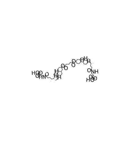 C[C@H](CCC(=O)NCCS(=O)(=O)O)[C@H]1CC[C@H]2[C@@H]3CCC4C[C@H](OC(=O)CCCC(=O)O[C@@H]5CC[C@@]6(C)C(CC[C@H]7[C@@H]8CC[C@H]([C@H](C)CCC(=O)NCCS(=O)(=O)O)[C@@]8(C)CC[C@@H]76)C5)CC[C@]4(C)[C@H]3CC[C@]12C